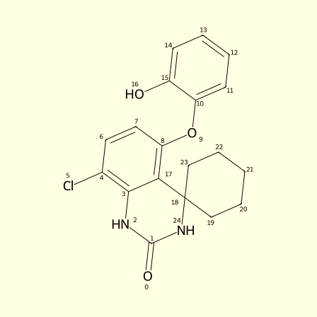 O=C1Nc2c(Cl)ccc(Oc3ccccc3O)c2C2(CCCCC2)N1